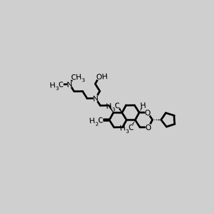 C=C1CCC2[C@]3(C)CO[C@@H](C4CCCC4)O[C@@H]3CC[C@@]2(C)[C@@H]1CCN(CCO)CCCN(C)C